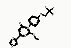 CCSc1nc(-c2cncs2)cc(=O)n1-c1ccc(OCC(F)(F)F)cc1